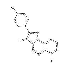 CC(=O)c1ccc(-n2[nH]c3c(nnc4c(F)cccc43)c2=O)cc1